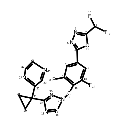 Fc1cc(-c2nnc(C(F)F)o2)cc(F)c1Cn1nnc(C2(c3cnccn3)CC2)n1